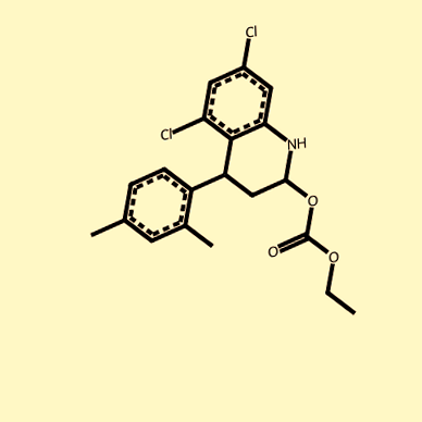 CCOC(=O)OC1CC(c2ccc(C)cc2C)c2c(Cl)cc(Cl)cc2N1